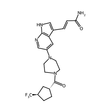 NC(=O)/C=C/c1c[nH]c2ncc(N3CCN(C(=O)[C@@H]4CC[C@@H](C(F)(F)F)C4)CC3)cc12